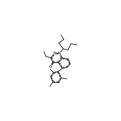 CCCC(CCC)n1nc(CC)c(=O)c2c(-c3c(C)cc(C)cc3C)cccc21